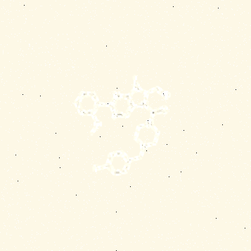 COc1ccccc1-c1ncc2c(n1)N(C)C(C=O)N2C(=O)N1CCN(Cc2ccc(F)cc2)CC1